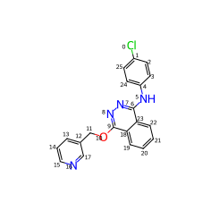 Clc1ccc(Nc2nnc(OCc3cccnc3)c3ccccc23)cc1